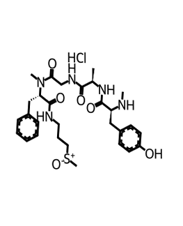 CN[C@@H](Cc1ccc(O)cc1)C(=O)N[C@H](C)C(=O)NCC(=O)N(C)[C@@H](Cc1ccccc1)C(=O)NCCC[S+](C)[O-].Cl